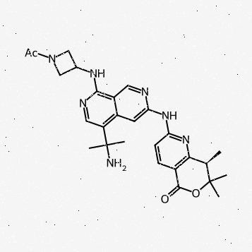 CC(=O)N1CC(Nc2ncc(C(C)(C)N)c3cc(Nc4ccc5c(n4)[C@@H](C)C(C)(C)OC5=O)ncc23)C1